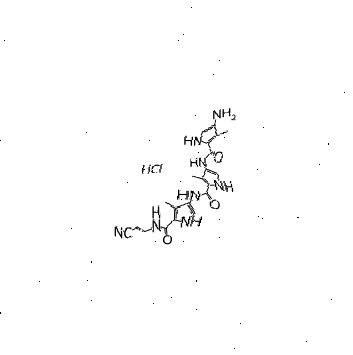 Cc1c(N)c[nH]c1C(=O)Nc1c[nH]c(C(=O)Nc2c[nH]c(C(=O)NCCC#N)c2C)c1C.Cl